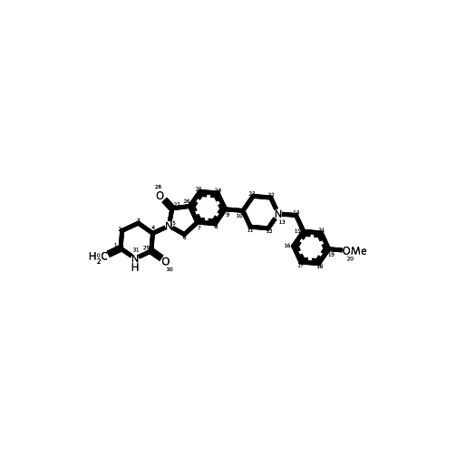 C=C1CCC(N2Cc3cc(C4CCN(Cc5cccc(OC)c5)CC4)ccc3C2=O)C(=O)N1